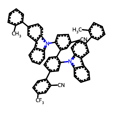 Cc1ccccc1-c1ccc2c(c1)c1ccccc1n2-c1ccc(C#N)cc1-c1ccc(-c2ccc(C(F)(F)F)cc2C#N)cc1-n1c2ccccc2c2cc(-c3ccccc3C)ccc21